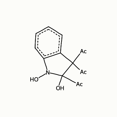 CC(=O)C1(C(C)=O)c2ccccc2N(O)C1(O)C(C)=O